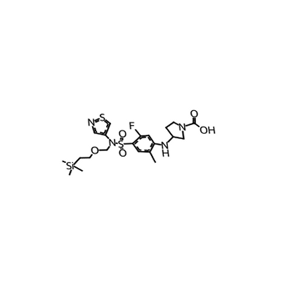 Cc1cc(S(=O)(=O)N(COCC[Si](C)(C)C)c2cnsc2)c(F)cc1NC1CCN(C(=O)O)C1